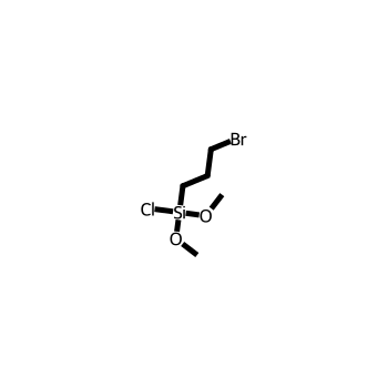 CO[Si](Cl)(CCCBr)OC